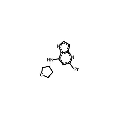 CC(C)c1cc(N[C@@H]2CCOC2)n2nccc2n1